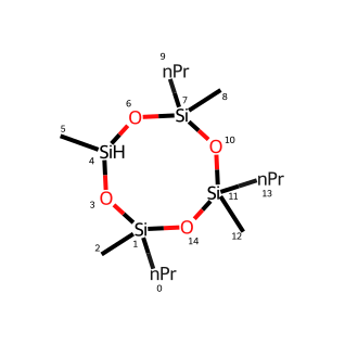 CCC[Si]1(C)O[SiH](C)O[Si](C)(CCC)O[Si](C)(CCC)O1